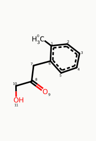 Cc1ccccc1CC(=O)CO